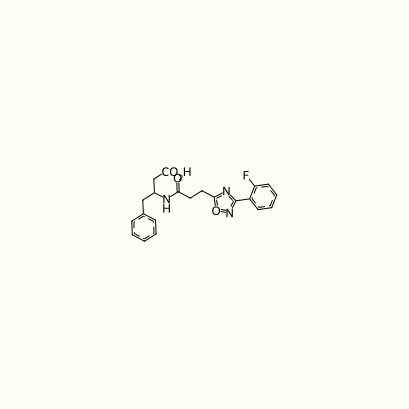 O=C(O)CC(Cc1ccccc1)NC(=O)CCc1nc(-c2ccccc2F)no1